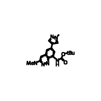 CNc1cc2cc(-c3cnn(C)c3)cc(NC(=O)OC(C)(C)C)c2nn1